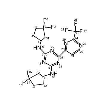 FC1(F)CCC(Nc2nc(NC3CCC(F)(I)C3)nc(-c3ccnc(C(F)(F)F)n3)n2)C1